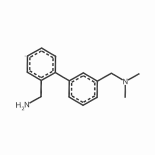 CN(C)Cc1cccc(-c2cc[c]cc2CN)c1